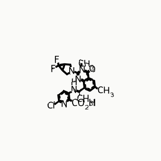 Cc1cc([C@H](C)Nc2ccc(Cl)nc2C(=O)O)c2nc(N3CC4C(C3)C4(F)F)n(C)c(=O)c2c1